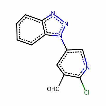 O=Cc1cc(-n2nnc3ccccc32)cnc1Cl